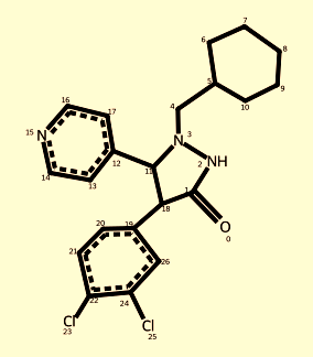 O=C1NN(CC2CCCCC2)C(c2ccncc2)C1c1ccc(Cl)c(Cl)c1